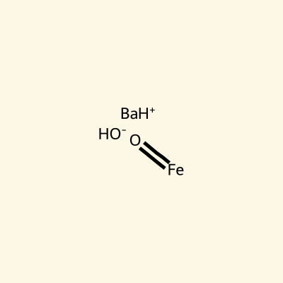 [BaH+].[OH-].[O]=[Fe]